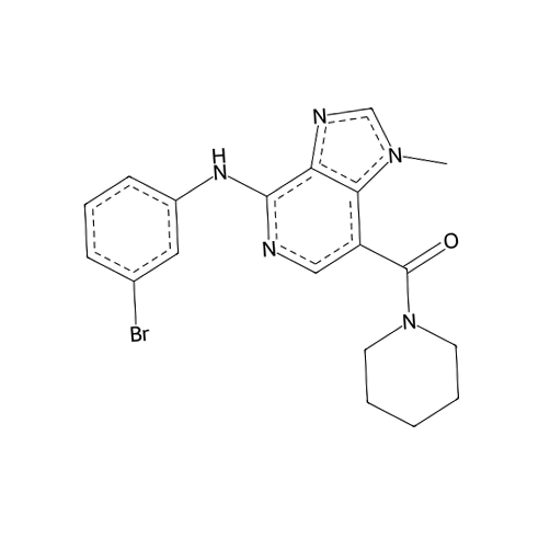 Cn1cnc2c(Nc3cccc(Br)c3)ncc(C(=O)N3CCCCC3)c21